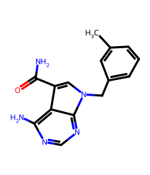 Cc1cccc(Cn2cc(C(N)=O)c3c(N)ncnc32)c1